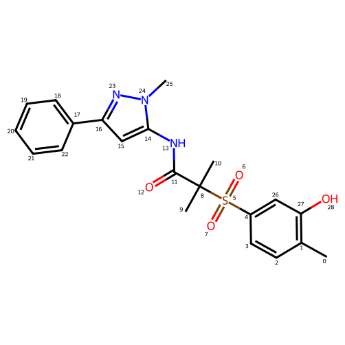 Cc1ccc(S(=O)(=O)C(C)(C)C(=O)Nc2cc(-c3ccccc3)nn2C)cc1O